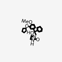 COc1ccc(C(O)(Cn2cc[nH]c2=O)c2ccccc2)cc1OC1CCCC1